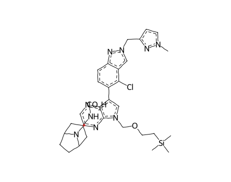 Cn1ccc(Cn2cc3c(Cl)c(-c4cn(COCC[Si](C)(C)C)c5nc(N6C7CCC6CC(NC(=O)O)C7)cnc45)ccc3n2)n1